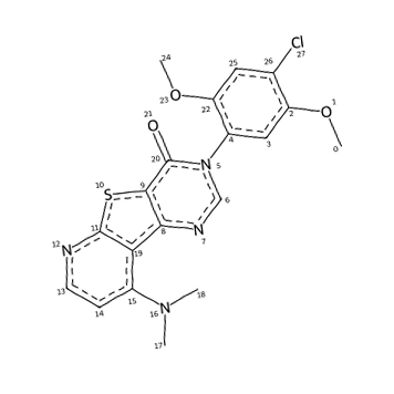 COc1cc(-n2cnc3c(sc4nccc(N(C)C)c43)c2=O)c(OC)cc1Cl